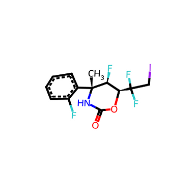 C[C@]1(c2ccccc2F)NC(=O)O[C@H](C(F)(F)CI)[C@@H]1F